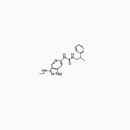 CCNc1n[nH]c2cc(NC(=O)NCC(C)c3ccccc3)ncc12